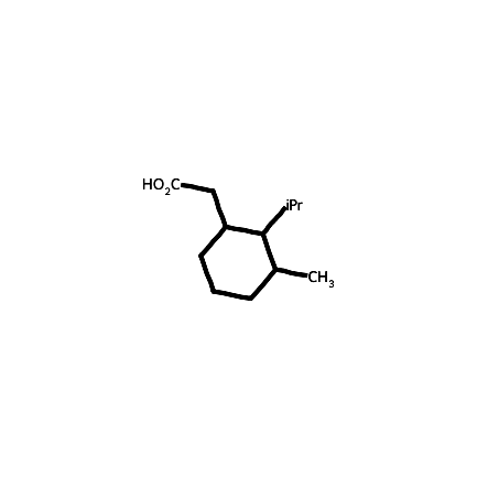 CC(C)C1C(C)CCCC1CC(=O)O